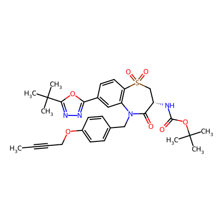 CC#CCOc1ccc(CN2C(=O)[C@@H](NC(=O)OC(C)(C)C)CS(=O)(=O)c3ccc(-c4nnc(C(C)(C)C)o4)cc32)cc1